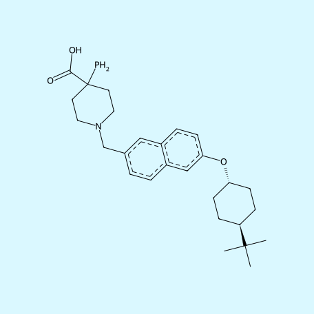 CC(C)(C)[C@H]1CC[C@H](Oc2ccc3cc(CN4CCC(P)(C(=O)O)CC4)ccc3c2)CC1